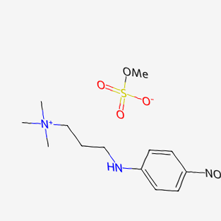 COS(=O)(=O)[O-].C[N+](C)(C)CCCNc1ccc([N+](=O)[O-])cc1